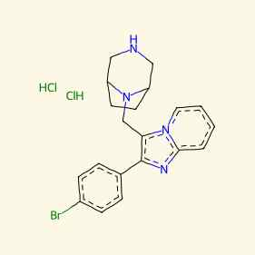 Brc1ccc(-c2nc3ccccn3c2CN2C3CCC2CNC3)cc1.Cl.Cl